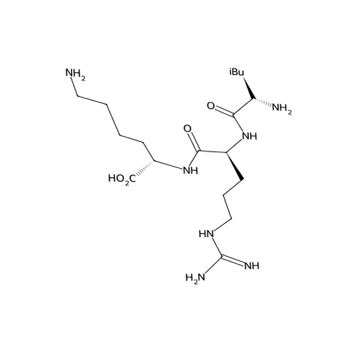 CC[C@H](C)[C@H](N)C(=O)N[C@@H](CCCNC(=N)N)C(=O)N[C@@H](CCCCN)C(=O)O